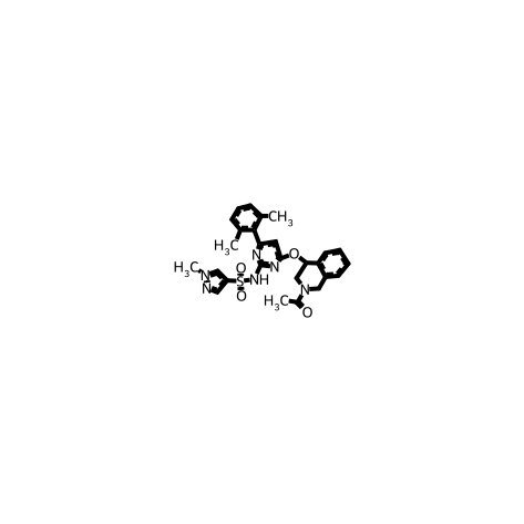 CC(=O)N1Cc2ccccc2C(Oc2cc(-c3c(C)cccc3C)nc(NS(=O)(=O)c3cnn(C)c3)n2)C1